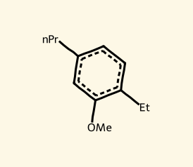 CCCc1ccc(CC)c(OC)c1